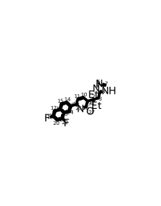 CCC(CC)(Cc1nnc[nH]1)C1C=CC(c2ccc3cc(F)cc(F)c3c2)=NC1=O